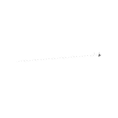 CCCOS(=S)(=S)SSSSSSSSSSSSSSSSSSSSSSSSSSSSSSSSSSSSSSSSSSSSSSSSSSSSSSSSSSSS